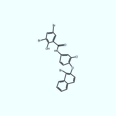 O=C(Nc1ccc(Oc2ccc3ccccc3c2Br)c(Cl)c1)c1cc(Br)cc(Br)c1O